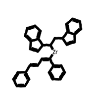 C(=Cc1ccccc1)C=[C]([Zr][CH](CC1C=Cc2ccccc21)C1C=Cc2ccccc21)c1ccccc1